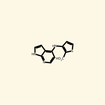 O=C(O)c1sccc1Nc1ccnc2[nH]ccc12